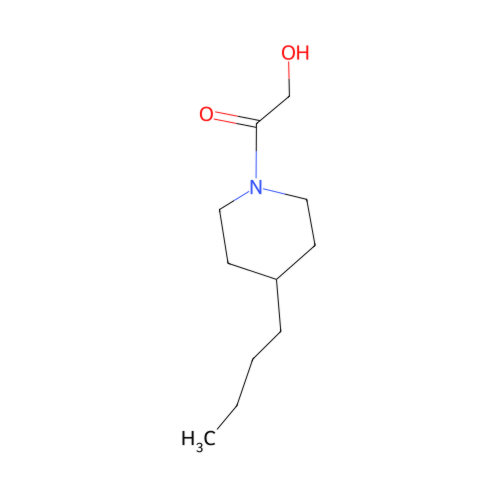 CCCCC1CCN(C(=O)CO)CC1